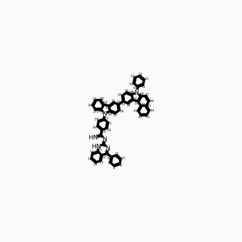 N=C(/N=c1/nc(-c2ccccc2)c2ccccc2[nH]1)c1ccc(-n2c3ccccc3c3cc(-c4ccc5c(c4)c4c6ccccc6ccc4n5-c4ccccc4)ccc32)cc1